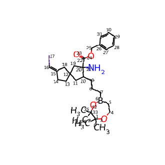 CC1(C)OCCB(CCCC2CC3(CC/C(=C/I)C3)CC2(N)C(=O)OCc2ccccc2)OC1(C)C